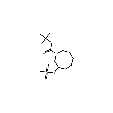 CC(C)(C)OC(=O)N1CCCCCC(OS(C)(=O)=O)C1